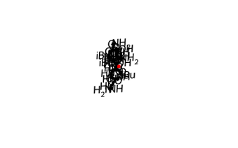 CC[C@@H](C)[C@@H](NC(=O)[C@@H](CCC(N)=O)NC(=O)[C@H](CO)NC(=O)[C@@H](NC(=O)[C@@H](C)N)[C@@H](C)CC)C(=O)N[C@H](C(=O)N[C@@H](CO)C(=O)N[C@H]1C(=O)N[C@@H](C)C(=O)N[C@@H](CCCNC(=N)N)C(=O)N[C@@H]([C@@H](C)CC)C(=O)O[C@H]1C)[C@@H](C)CC